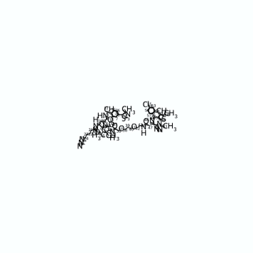 Cc1ncsc1-c1ccc(C(C)NC(=O)[C@@H]2C[C@@H](NC(=O)CCCCN=[N+]=[N-])CN2C(=O)C(NC(=O)COCCCOCCNC(=O)C[C@@H]2N=C(c3ccc(Cl)cc3)c3c(sc(C)c3C)-n3c(C)nnc32)C(C)(C)C)cc1